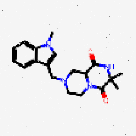 Cn1cc(CN2CCN3C(=O)C(C)(C)NC(=O)C3C2)c2ccccc21